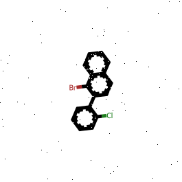 Clc1ccccc1-c1ccc2ccccc2c1Br